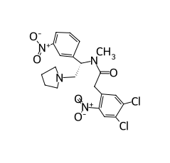 CN(C(=O)Cc1cc(Cl)c(Cl)cc1[N+](=O)[O-])[C@H](CN1CCCC1)c1cccc([N+](=O)[O-])c1